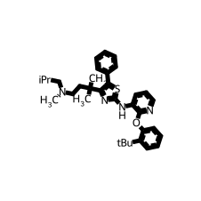 CC(C)CN(C)CCC(C)(C)c1nc(Nc2cccnc2Oc2ccccc2C(C)(C)C)sc1-c1ccccc1